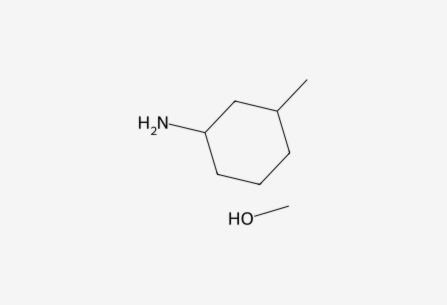 CC1CCCC(N)C1.CO